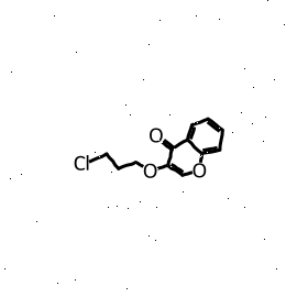 O=c1c(OCCCCl)coc2ccccc12